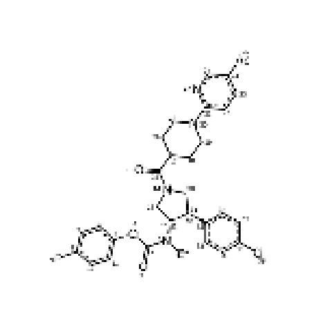 CCN(C(=O)Oc1ccc(F)cc1)[C@@H]1CN(C(=O)C2CCN(c3ccc(C(C)=O)cn3)CC2)C[C@H]1c1ccc(Cl)cc1